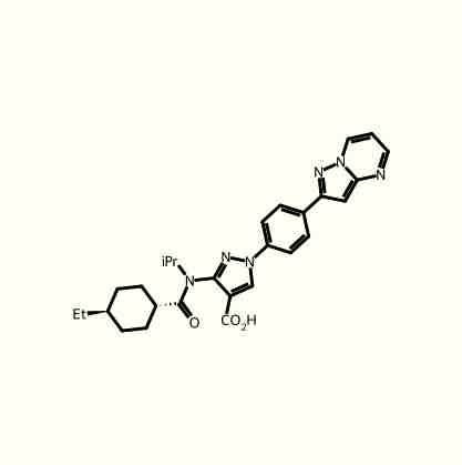 CC[C@H]1CC[C@H](C(=O)N(c2nn(-c3ccc(-c4cc5ncccn5n4)cc3)cc2C(=O)O)C(C)C)CC1